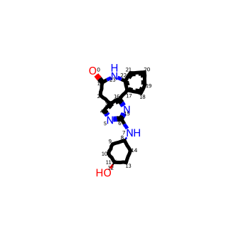 O=C1Cc2cnc(N[C@H]3CC[C@H](O)CC3)nc2-c2ccccc2N1